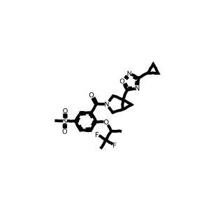 CC(Oc1ccc(S(C)(=O)=O)cc1C(=O)N1CC2CC2(c2nc(C3CC3)no2)C1)C(C)(F)F